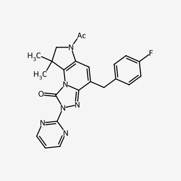 CC(=O)N1CC(C)(C)c2c1cc(Cc1ccc(F)cc1)c1nn(-c3ncccn3)c(=O)n21